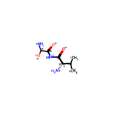 CC(C)[C@H](N)C(=O)NC(=O)C(N)O